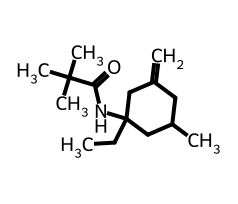 C=C1CC(C)CC(CC)(NC(=O)C(C)(C)C)C1